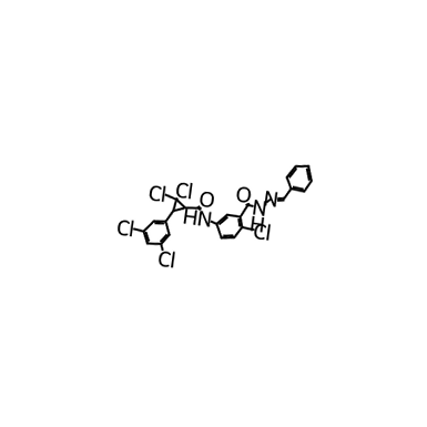 O=C(NN=Cc1ccccc1)c1cc(NC(=O)C2C(c3cc(Cl)cc(Cl)c3)C2(Cl)Cl)ccc1Cl